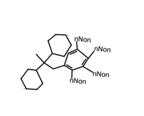 CCCCCCCCCc1cc(CC(C)(C2CC[CH]CC2)C2CC[CH]CC2)c(CCCCCCCCC)c(CCCCCCCCC)c1CCCCCCCCC